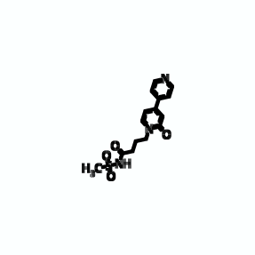 CS(=O)(=O)NC(=O)CCCn1ccc(-c2ccncc2)cc1=O